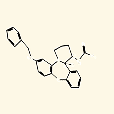 O=C(N[C@@H]1CCCN2c3cc(NCc4ccccc4)ccc3Oc3ccccc3[C@@H]12)C(F)(F)F